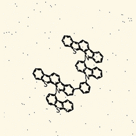 c1cc(-c2ccc3c(c2)c2ccc4c5ccccc5sc4c2n3-c2cccc3sc4ccccc4c23)cc(-n2c3ccccc3c3c(-n4c5ccccc5c5ccc6c7ccccc7sc6c54)cccc32)c1